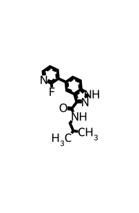 CC(C)CNC(=O)c1n[nH]c2ccc(-c3cccnc3F)cc12